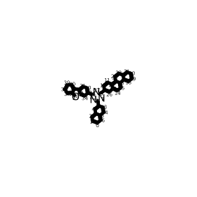 c1ccc2cc(-c3nc(-c4ccc5c(ccc6c7ccccc7ccc56)c4)nc(-c4ccc5c(c4)oc4ccccc45)n3)ccc2c1